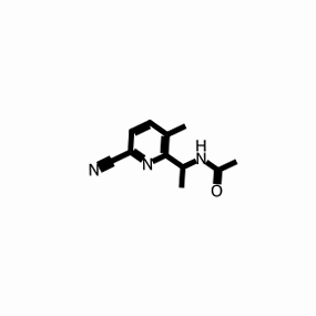 CC(=O)NC(C)c1nc(C#N)ccc1C